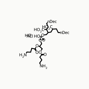 CCCCCCCCCCCCC(CC(COP(=O)(O)OCC(COC(=O)CCCN)OC(=O)CCCN)C(CCCCCCCCCCCC)C(=O)O)C(=O)O.Cl.Cl